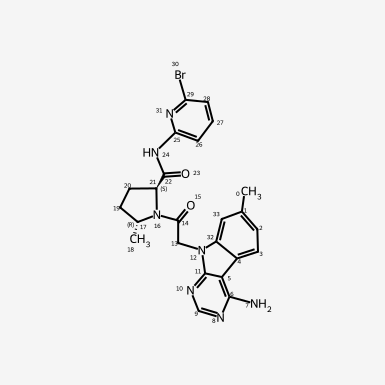 Cc1ccc2c3c(N)ncnc3n(CC(=O)N3[C@H](C)CC[C@H]3C(=O)Nc3cccc(Br)n3)c2c1